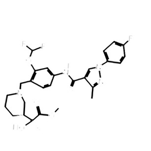 COC(=O)[C@@](C)(O)[C@H]1CCCN(Cc2ccc(NC(=O)c3cn(-c4ccc(F)cc4)nc3C)cc2OC(F)F)C1